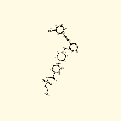 O=C(NS(=O)(=O)CCC(F)(F)F)c1ccc(N2CCN(Cc3ccccc3C#Cc3cccc(O)c3)CC2)nn1